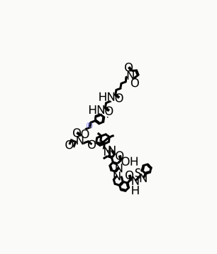 Cc1c(-c2ccc(N3CCc4cccc(C(=O)Nc5nc6ccccc6s5)c4C3)nc2C(=O)O)cnn1CC12CC3(C)CC(C)(C1)CC(OCCN(C(=O)OC/C=C/c1cc[c]c(NC(=O)CCNC(=O)CCCCCN4C(=O)C=CC4=O)c1)C1COC1)(C3)C2